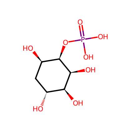 O=P(O)(O)O[C@H]1[C@@H](O)[C@@H](O)[C@H](O)C[C@H]1O